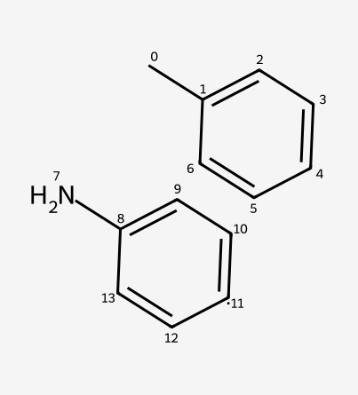 Cc1ccccc1.Nc1cc[c]cc1